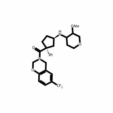 COC1COCCC1N[C@@H]1CC[C@@](C(=O)N2COc3ccc(C(F)(F)F)cc3C2)(C(C)C)C1